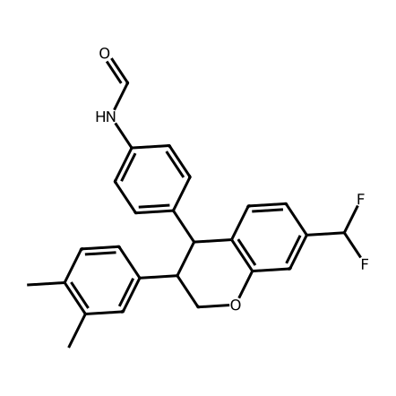 Cc1ccc(C2COc3cc(C(F)F)ccc3C2c2ccc(NC=O)cc2)cc1C